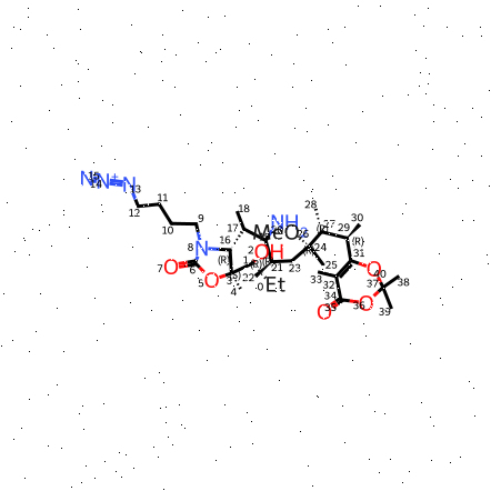 CC[C@@H](O)[C@@]1(C)OC(=O)N(CCCCN=[N+]=[N-])[C@@H]1C(C)C(N)[C@H](C)C[C@@](C)(OC)[C@H](C)[C@@H](C)C1=C(C)C(=O)OC(C)(C)O1